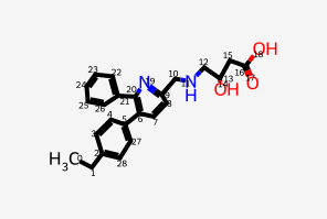 CCc1ccc(-c2ccc(CNCC(O)CC(=O)O)nc2-c2ccccc2)cc1